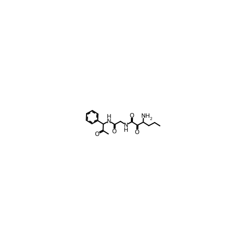 CCCC(N)C(=O)C(=O)NCC(=O)NC(C(C)=O)c1ccccc1